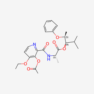 CCOc1ccnc(C(=O)N[C@@H](C)C(=O)O[C@H](C(C)C)[C@H](C)Oc2ccccc2)c1OC(C)=O